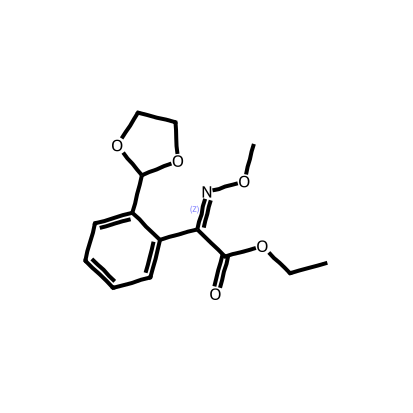 CCOC(=O)/C(=N\OC)c1ccccc1C1OCCO1